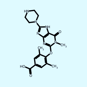 Cc1cc(C(=O)O)cc(C)c1Oc1nc2nc(N3CCNCC3)[nH]c2c(=O)n1C